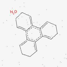 C1=c2c3c(c4c(c2=CCC1)=CCCC=4)=CCCC=3.O